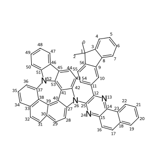 CC1(C)c2ccccc2-c2cc(-c3nc4c(ccc5ccccc54)nc3-n3c4ccc5ccc6cccc7c6c5c4c4c3ccc3c5ccccc5n7c34)ccc21